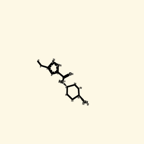 CCc1cc(C(=O)N[C@H]2CC[C@H](N)CC2)ns1